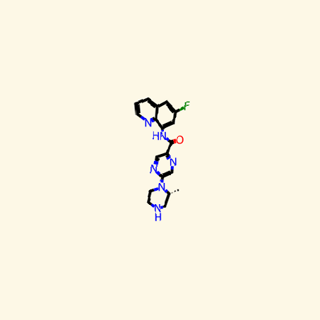 C[C@@H]1CNCCN1c1cnc(C(=O)Nc2cc(F)cc3cccnc23)cn1